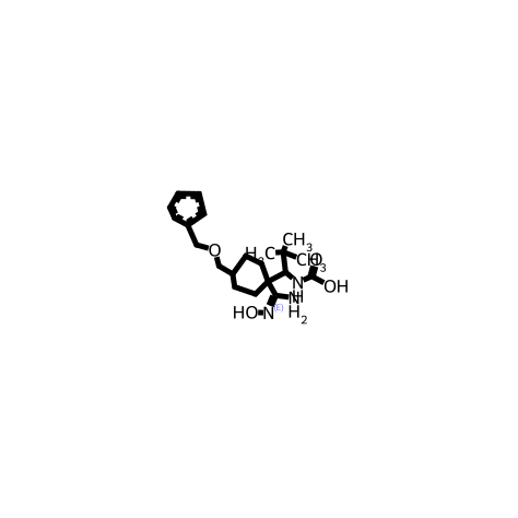 CC(C)(C)C(NC(=O)O)C1(/C(N)=N\O)CCC(COCc2ccccc2)CC1